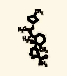 COC1(c2ccnc(C(N)=O)c2)C(C)CCCC1CN(C)C[C@@H]1CCC(C)C1